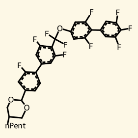 CCCCCC1COC(c2ccc(-c3cc(F)c(C(F)(F)Oc4cc(F)c(-c5cc(F)c(F)c(F)c5)c(F)c4)c(F)c3)c(F)c2)OC1